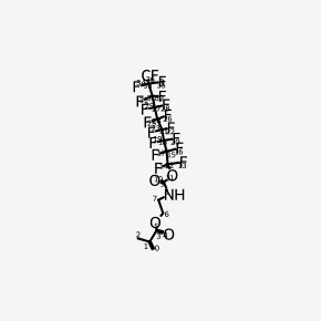 C=C(C)C(=O)OCCNC(=O)OC(F)(F)C(F)(F)C(F)(F)C(F)(F)C(F)(F)C(F)(F)C(F)(F)C(F)(F)C(F)(F)F